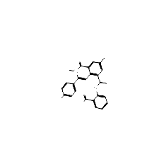 Cc1cc(C(C)Nc2ccccc2C(=O)O)c2cc(-c3ccc(F)cc3)n(C)c(=O)c2c1